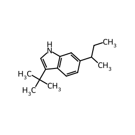 CCC(C)c1ccc2c(C(C)(C)C)c[nH]c2c1